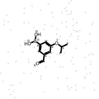 CC(C)Oc1cc(C=O)cc(B(O)O)c1